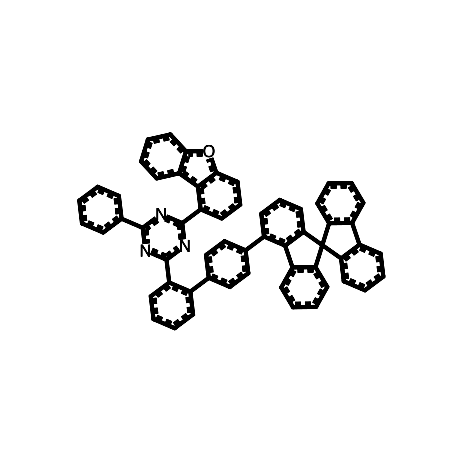 c1ccc(-c2nc(-c3ccccc3-c3ccc(-c4cccc5c4-c4ccccc4C54c5ccccc5-c5ccccc54)cc3)nc(-c3cccc4oc5ccccc5c34)n2)cc1